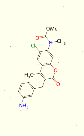 COC(=O)N(C)c1cc2oc(=O)c(Cc3cccc(N)c3)c(C)c2cc1Cl